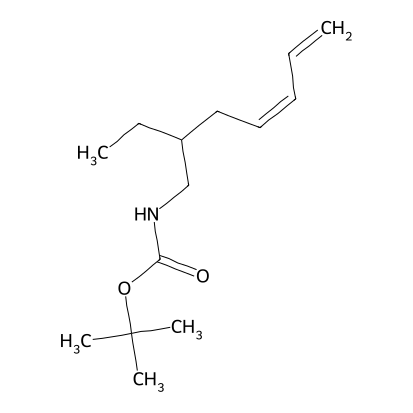 C=C/C=C\CC(CC)CNC(=O)OC(C)(C)C